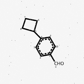 O=Cc1ccc(C2CCC2)cc1